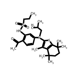 CCCS(=O)(=O)Nc1cc(N(CC(C)C)c2sc3c(c2C)C(C)(C)CCC3(C)C)ccc1C(C)=O